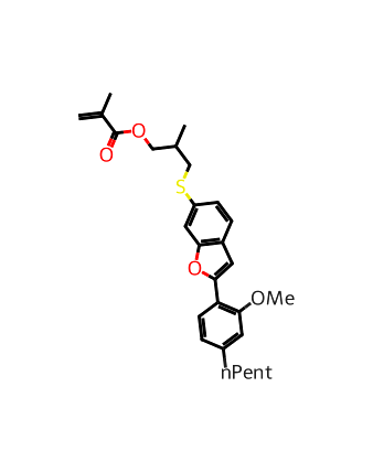 C=C(C)C(=O)OCC(C)CSc1ccc2cc(-c3ccc(CCCCC)cc3OC)oc2c1